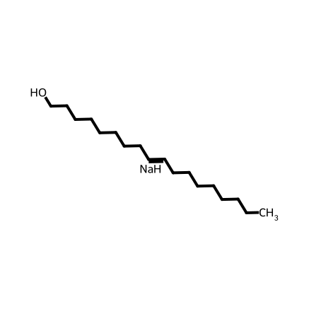 CCCCCCCCC=CCCCCCCCCO.[NaH]